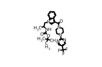 CC(Cn1cc(C(=O)N2CCN(c3ncc(C(F)(F)F)cn3)CC2)c2ccccc21)NC(=O)OC(C)(C)C